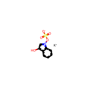 O=S(=O)([O-])On1cc(O)c2ccccc21.[K+]